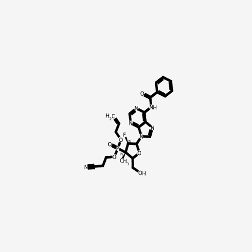 C=CCOP(=O)(OCCC#N)[C@@]1(C)C(CO)OC(n2cnc3c(NC(=O)c4ccccc4)ncnc32)[C@@H]1F